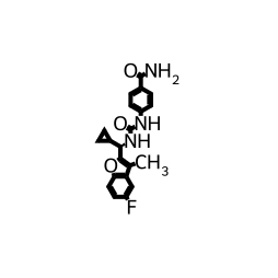 Cc1c([C@H](NC(=O)Nc2ccc(C(N)=O)cc2)C2CC2)oc2ccc(F)cc12